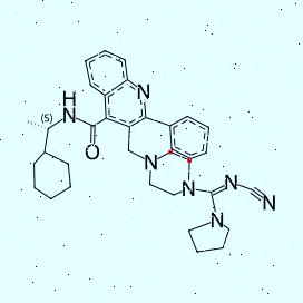 C[C@H](NC(=O)c1c(CN2CCN(C(=NC#N)N3CCCC3)CC2)c(-c2ccccc2)nc2ccccc12)C1CCCCC1